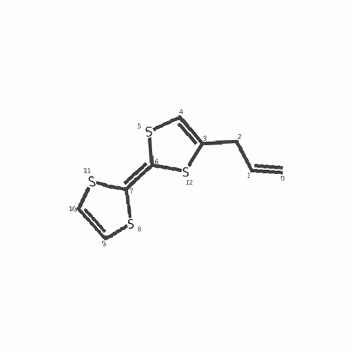 C=CCC1=CSC(=C2SC=CS2)S1